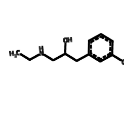 CCNCC(O)Cc1cccc(Cl)c1